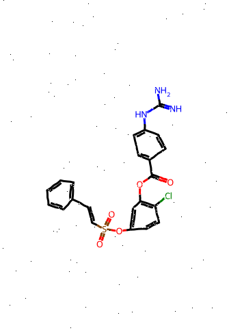 N=C(N)Nc1ccc(C(=O)Oc2cc(OS(=O)(=O)C=Cc3ccccc3)ccc2Cl)cc1